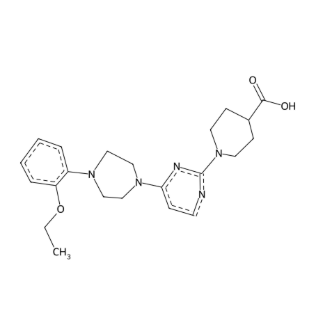 CCOc1ccccc1N1CCN(c2ccnc(N3CCC(C(=O)O)CC3)n2)CC1